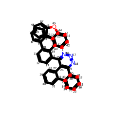 c1ccc(-c2ccccc2-c2cccc(-c3nnnc(-c4ccccc4)c3-c3ccccc3-c3ccccc3)c2-c2cccc3oc4ccccc4c23)cc1